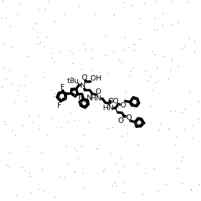 CC(C)(C)[C@H](C1=CC(c2cc(F)ccc2F)=CC1Cc1ccccc1)N(CC[C@H](N)C(=O)NCCC(=O)N[C@H](CCC(=O)OCc1ccccc1)C(=O)OCc1ccccc1)C(=O)CO